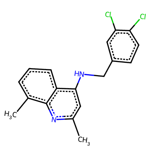 Cc1cc(NCc2ccc(Cl)c(Cl)c2)c2cccc(C)c2n1